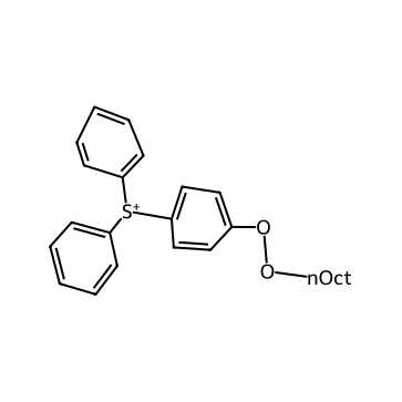 CCCCCCCCOOc1ccc([S+](c2ccccc2)c2ccccc2)cc1